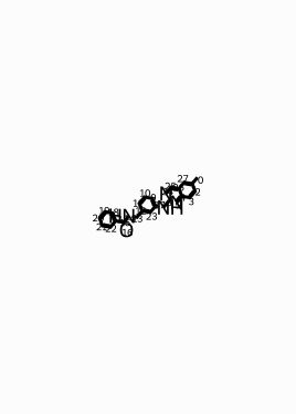 Cc1ccc2nc(Nc3cccc(CNC(=O)c4ccccc4)c3)ncc2c1